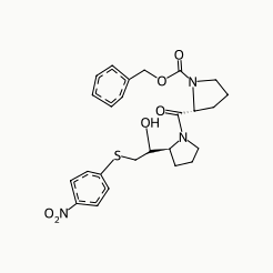 O=C(OCc1ccccc1)N1CCC[C@@H]1C(=O)N1CCC[C@H]1C(O)CSc1ccc([N+](=O)[O-])cc1